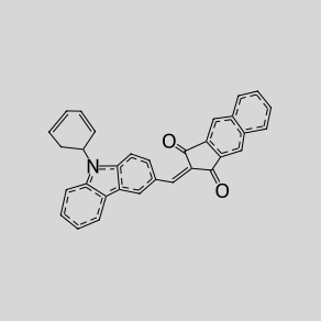 O=C1C(=Cc2ccc3c(c2)c2ccccc2n3C2C=CC=CC2)C(=O)c2cc3ccccc3cc21